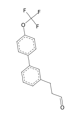 O=CCCc1cccc(-c2ccc(OC(F)(F)F)cc2)c1